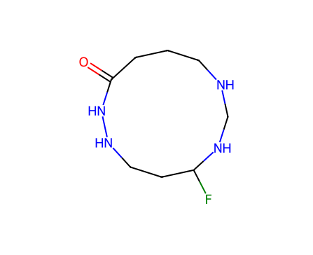 O=C1CCCNCNC(F)CCNN1